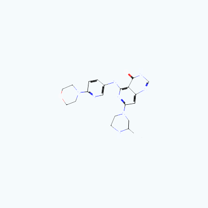 O=c1[nH]cnc2cc(N3CCNC(C(F)(F)F)C3)nc(Nc3ccc(N4CCOCC4)nc3)c12